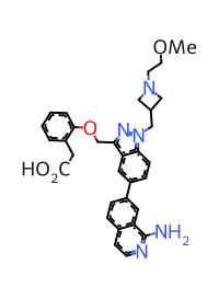 COCCN1CC(Cn2nc(COc3ccccc3CC(=O)O)c3cc(-c4ccc5ccnc(N)c5c4)ccc32)C1